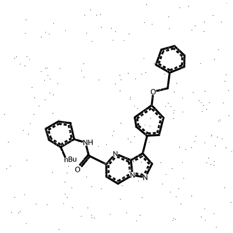 CCCCc1ccccc1NC(=O)c1ccn2ncc(-c3ccc(OCc4ccccc4)cc3)c2n1